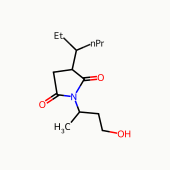 CCCC(CC)C1CC(=O)N(C(C)CCO)C1=O